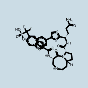 NC(=O)CC[C@H](NC(=O)[C@@H]1CC[C@@H]2CCNC[C@H](NC(=O)c3cc4cc(C(F)(F)P(=O)(O)O)ccc4s3)C(=O)N21)c1nc(-c2ccccc2)cs1